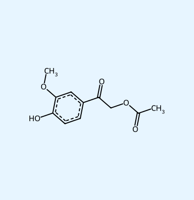 COc1cc(C(=O)COC(C)=O)ccc1O